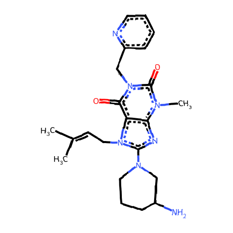 CC(C)=CCn1c(N2CCCC(N)C2)nc2c1c(=O)n(Cc1ccccn1)c(=O)n2C